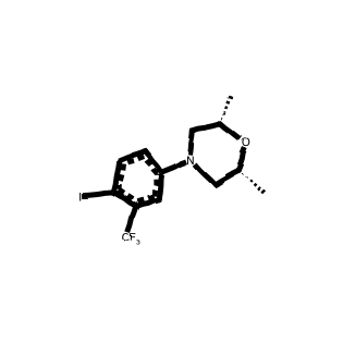 C[C@@H]1CN(c2ccc(I)c(C(F)(F)F)c2)C[C@H](C)O1